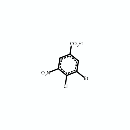 CCOC(=O)c1cc(CC)c(Cl)c([N+](=O)[O-])c1